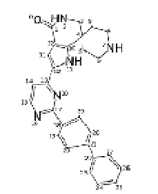 O=C1NCC2(CCNCC2)c2[nH]c(-c3ccnc(-c4ccc(-c5ccccc5)cc4)n3)cc21